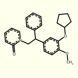 COc1ccc(C(Cn2ccccc2=O)c2ccccc2)cc1OC1CCCC1